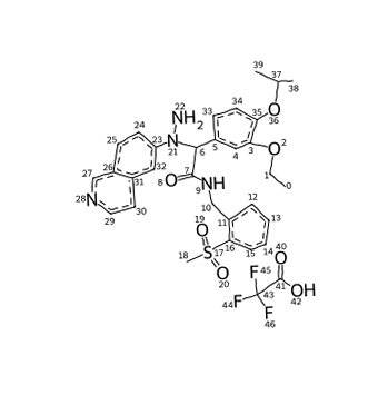 CCOc1cc(C(C(=O)NCc2ccccc2S(C)(=O)=O)N(N)c2ccc3cnccc3c2)ccc1OC(C)C.O=C(O)C(F)(F)F